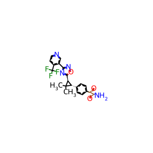 CC1(C)[C@@H](c2ccc(S(N)(=O)=O)cc2)[C@@H]1c1nc(-c2cnccc2C(F)(F)F)no1